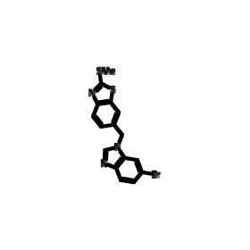 CSc1nc2ccc(Cn3cnc4ccc(Br)cc43)cc2s1